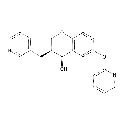 O[C@@H]1c2cc(Oc3ccccn3)ccc2OC[C@@H]1Cc1cccnc1